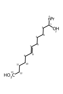 CCCC(O)CCCCC=CCCCCC(=O)O